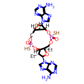 CC[C@H]1[C@H](n2cnc3c(N)ncnc32)O[C@]2(CC)CO[P@@](=O)(S)O[C@@H]3[C@H](F)[C@@H](COP(=O)(S)O[C@@H]12)O[C@H]3n1cnc2c(N)ncnc21